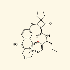 CCC[C@H](NC(=O)N1C(=O)C(CC)(CC)[C@@H]1Oc1ccc(C(=O)O)c([C@@H](C)N2CCOCC2)c1)c1ccc(C)cc1